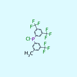 Cc1cc(P(Cl)c2cc(C(F)(F)F)cc(C(F)(F)F)c2)cc(C(F)(F)F)c1